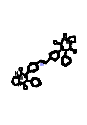 O=C1C[C@@H]2CCCN2C(=O)C(c2ccccc2)N1c1ccc(/C=C/c2ccc(N3C(=O)[C@@H]4CCCN4C(=O)C3c3ccccc3)cc2)cc1